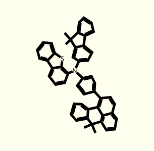 CC1(C)c2ccccc2-c2ccc(N(c3ccc(-c4ccc5cccc6c5c4-c4ccccc4C6(C)C)cc3)c3cccc4c3sc3ccccc34)cc21